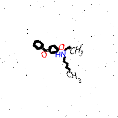 CCCCCCNC(CC)Oc1ccc(C(=O)c2ccccc2)cc1